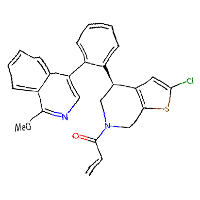 C=CC(=O)N1Cc2sc(Cl)cc2[C@H](c2ccccc2-c2cnc(OC)c3ccccc23)C1